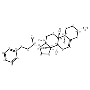 C[C@]12CC[C@H]3[C@@H](CC=C4C[C@@H](O)CC[C@@]43C)[C@@H]1CC[C@@H]2C(O)CCc1cccnc1